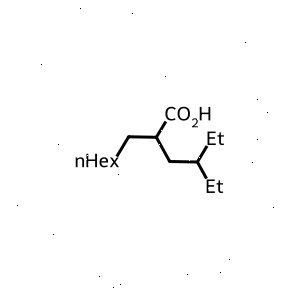 CCCCCCCC(CC(CC)CC)C(=O)O